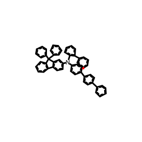 c1ccc(-c2ccc(-c3ccc(N(c4ccc5c(c4)C(c4ccccc4)(c4ccccc4)c4ccccc4-5)c4ccccc4-c4ccccc4)cc3)cc2)cc1